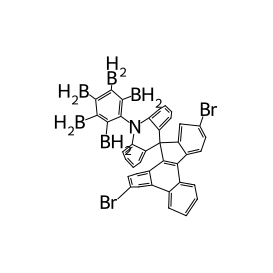 Bc1c(B)c(B)c(N2c3ccccc3C3(c4cc(Br)ccc4-c4c3c3ccc(Br)cc3c3ccccc43)c3ccccc32)c(B)c1B